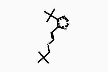 CC(C)(C)CSC=Cc1nscc1C(C)(C)C